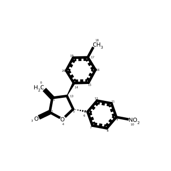 C=C1C(=O)O[C@@H](c2ccc([N+](=O)[O-])cc2)[C@@H]1c1ccc(C)cc1